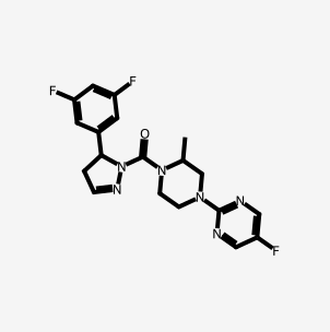 CC1CN(c2ncc(F)cn2)CCN1C(=O)N1N=CCC1c1cc(F)cc(F)c1